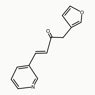 O=C(C=Cc1cccnc1)Cc1ccoc1